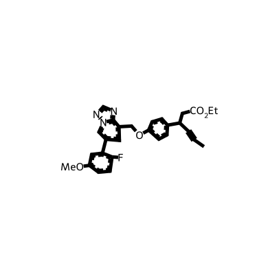 CC#CC(CC(=O)OCC)c1ccc(OCc2cc(-c3cc(OC)ccc3F)cn3ncnc23)cc1